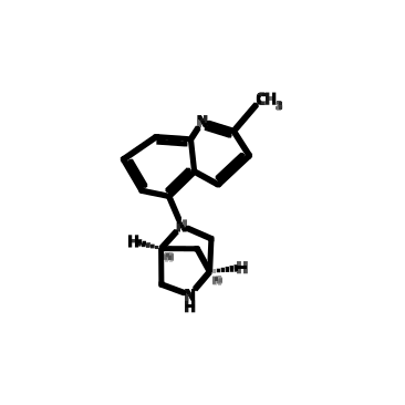 Cc1ccc2c(N3C[C@@H]4C[C@H]3CN4)cccc2n1